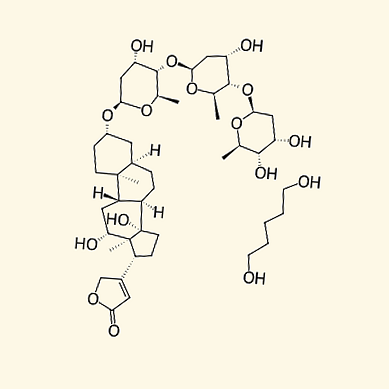 C[C@H]1O[C@@H](O[C@H]2[C@@H](O)C[C@H](O[C@H]3[C@@H](O)C[C@H](O[C@H]4CC[C@@]5(C)[C@H](CC[C@@H]6[C@@H]5C[C@@H](O)[C@]5(C)[C@@H](C7=CC(=O)OC7)CC[C@]65O)C4)O[C@@H]3C)O[C@@H]2C)C[C@H](O)[C@@H]1O.OCCCCCO